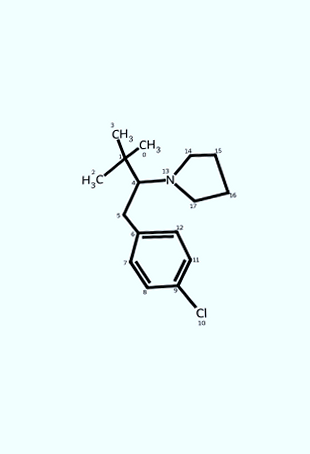 CC(C)(C)C(Cc1ccc(Cl)cc1)N1CCCC1